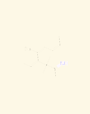 C\C=C/C=C(\C(=C/C)C(C)(C)C(C)=N)C(C)(C)C